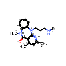 CCNCCCN1c2ccccc2N(C)C(=O)c2c(C)cc(C)nc21